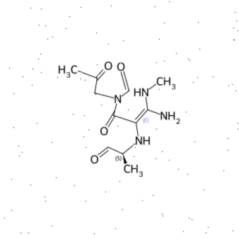 CN/C(N)=C(/N[C@@H](C)C=O)C(=O)N(C=O)CC(C)=O